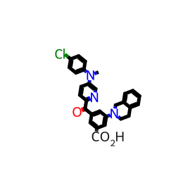 CN(c1ccc(Cl)cc1)c1ccc(C(=O)c2cc(C(=O)O)cc(N3CCc4ccccc4C3)c2)nc1